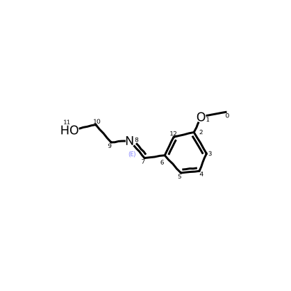 COc1cccc(/C=N/CCO)c1